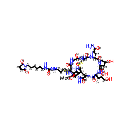 CC[C@H](C)[C@@H]1NC(=O)CNC(=O)[C@@H]2Cc3c([nH]c4c(CSCCCCNC(=O)NCCCCCCN5C(=O)C=CC5=O)c(OC)ccc34)[S+]([O-])C[C@H](NC(=O)CNC1=O)C(=O)N[C@@H](CCC(N)=O)C(=O)N1C[C@H](O)C[C@H]1C(=O)N[C@@H]([C@@H](C)[C@H](O)CO)C(=O)N2